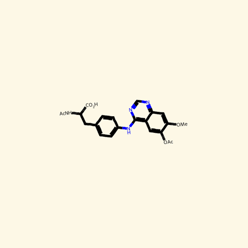 COc1cc2ncnc(Nc3ccc(CC(NC(C)=O)C(=O)O)cc3)c2cc1OC(C)=O